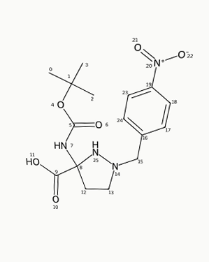 CC(C)(C)OC(=O)NC1(C(=O)O)CCN(Cc2ccc([N+](=O)[O-])cc2)N1